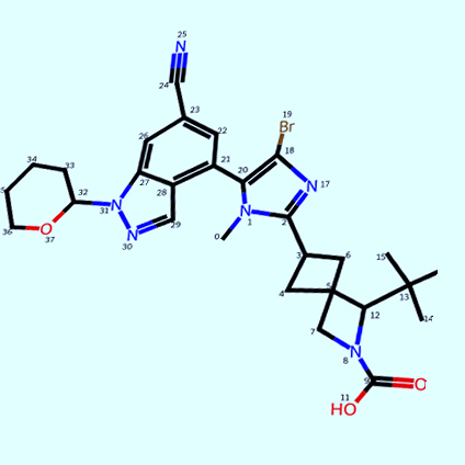 Cn1c(C2CC3(C2)CN(C(=O)O)C3C(C)(C)C)nc(Br)c1-c1cc(C#N)cc2c1cnn2C1CCCCO1